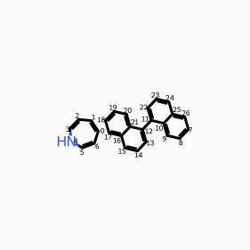 C1=CC=CNC=C1.c1ccc2c(-c3cccc4ccccc34)cccc2c1